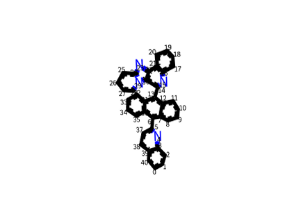 c1ccc2nc(-c3c4ccccc4c(-c4nc5ccccc5c5nc6ccccn6c45)c4ccccc34)ccc2c1